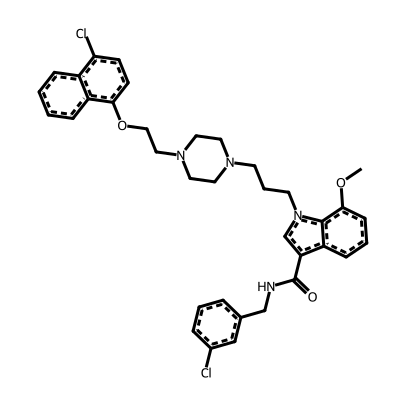 COc1cccc2c(C(=O)NCc3cccc(Cl)c3)cn(CCCN3CCN(CCOc4ccc(Cl)c5ccccc45)CC3)c12